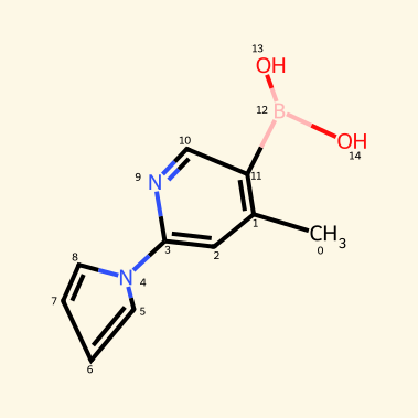 Cc1cc(-n2cccc2)ncc1B(O)O